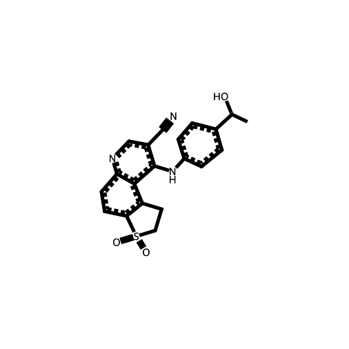 CC(O)c1ccc(Nc2c(C#N)cnc3ccc4c(c23)CCS4(=O)=O)cc1